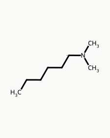 CCCCC[CH]N(C)C